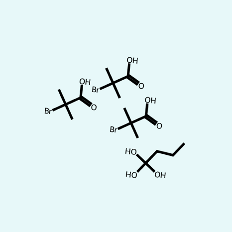 CC(C)(Br)C(=O)O.CC(C)(Br)C(=O)O.CC(C)(Br)C(=O)O.CCCC(O)(O)O